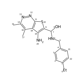 CCc1ccc(CNC(O)c2sc3nnc(C)c(C)c3c2N)cc1